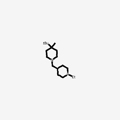 CCN1CCC(CN2CCC(C)(C(C)(C)C)CC2)CC1